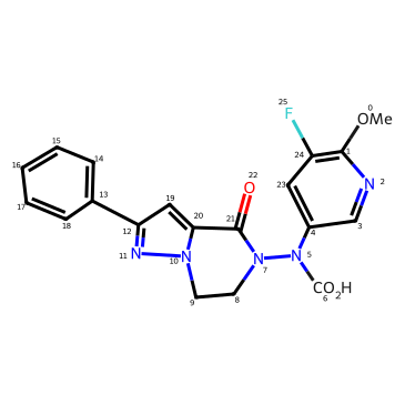 COc1ncc(N(C(=O)O)N2CCn3nc(-c4ccccc4)cc3C2=O)cc1F